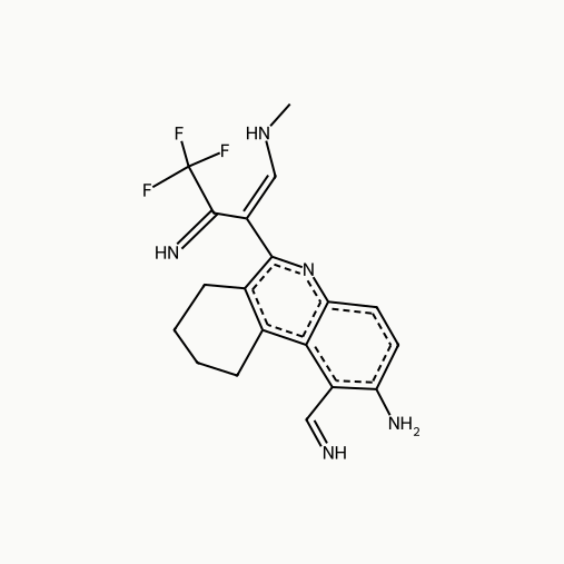 CN/C=C(\C(=N)C(F)(F)F)c1nc2ccc(N)c(C=N)c2c2c1CCCC2